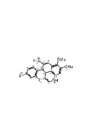 COc1cc2c3c(c1OC)C=C(C)N(c1ccc(Br)cc1F)C3N=CN2